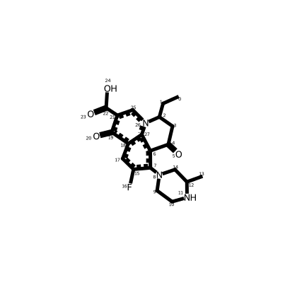 CCC1CC(=O)c2c(N3CCNC(C)C3)c(F)cc3c(=O)c(C(=O)O)cn1c23